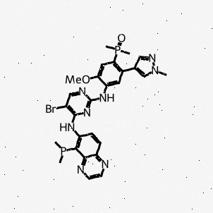 COc1cc(P(C)(C)=O)c(-c2cnn(C)c2)cc1Nc1ncc(Br)c(Nc2ccc3nccnc3c2P(C)C)n1